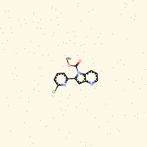 CC(C)(C)OC(=O)n1c(-c2cccc(Cl)n2)cc2ncccc21